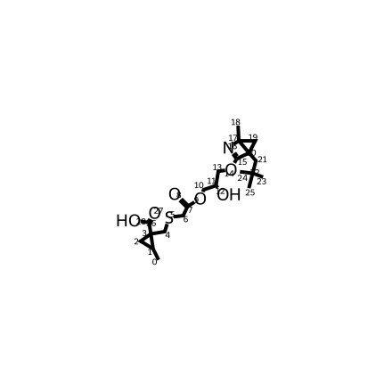 CC1CC1(CSCC(=O)OCC(O)COC1=NC2(C)CC12CC(C)(C)C)C(=O)O